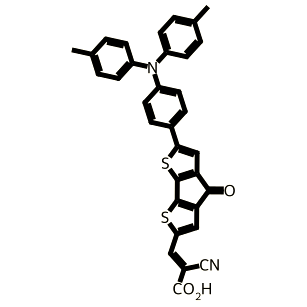 Cc1ccc(N(c2ccc(C)cc2)c2ccc(-c3cc4c(s3)-c3sc(/C=C(\C#N)C(=O)O)cc3C4=O)cc2)cc1